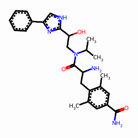 Cc1cc(C(N)=O)cc(C)c1CC(N)C(=O)N(CC(O)c1nc(-c2ccccc2)c[nH]1)C(C)C